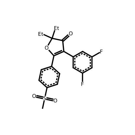 CCC1(CC)OC(c2ccc(S(C)(=O)=O)cc2)=C(c2cc(F)cc(F)c2)C1=O